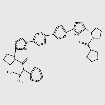 CN(C)C(C(=O)N1CCC[C@H]1c1ncc(-c2ccc(-c3ccc(-c4cnc([C@@H]5CCCN5C(=O)[C@H]5CCCO5)[nH]4)cc3)cc2)[nH]1)c1ccccc1